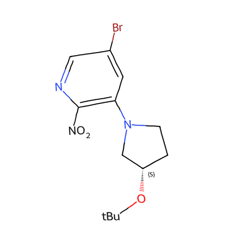 CC(C)(C)O[C@H]1CCN(c2cc(Br)cnc2[N+](=O)[O-])C1